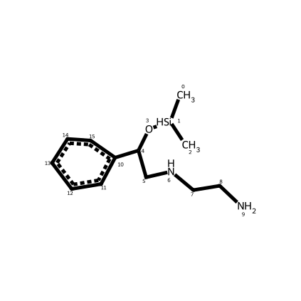 C[SiH](C)OC(CNCCN)c1ccccc1